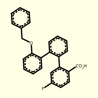 O=C(O)c1ccc(F)cc1-c1ccccc1-c1ccccc1OCc1ccccc1